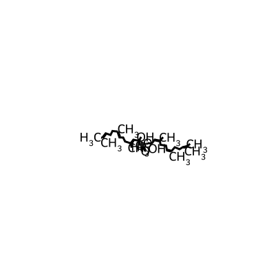 CC(C)=CCCC(C)=CCCC(C)=CC(O)O[PH](=O)OC(O)C=C(C)CCC=C(C)CCC=C(C)C